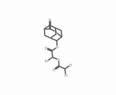 CCC(Cl)C(=O)OC(CC)C(=O)OC1C2CC3CC(C2)C(=O)OC1C3